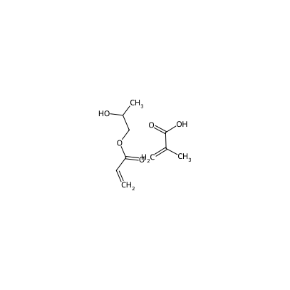 C=C(C)C(=O)O.C=CC(=O)OCC(C)O